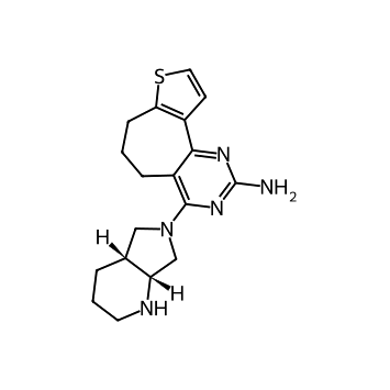 Nc1nc2c(c(N3C[C@H]4CCCN[C@H]4C3)n1)CCCc1sccc1-2